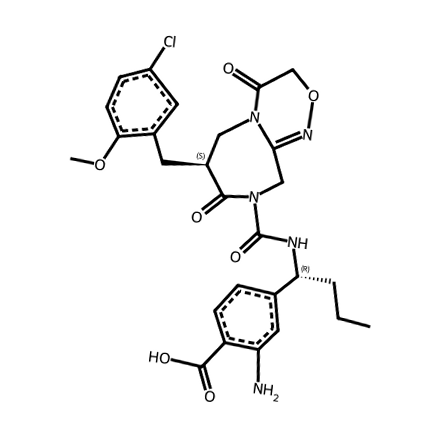 CCC[C@@H](NC(=O)N1CC2=NOCC(=O)N2C[C@H](Cc2cc(Cl)ccc2OC)C1=O)c1ccc(C(=O)O)c(N)c1